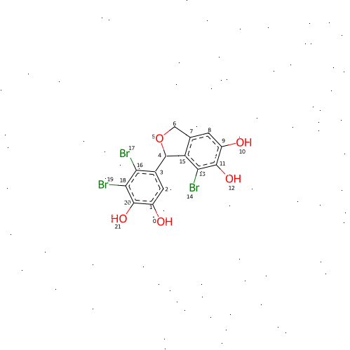 Oc1cc(C2OCc3cc(O)c(O)c(Br)c32)c(Br)c(Br)c1O